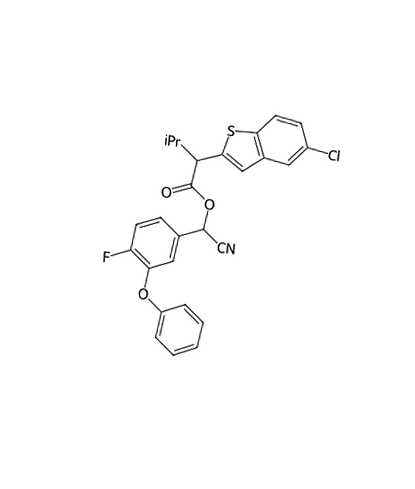 CC(C)C(C(=O)OC(C#N)c1ccc(F)c(Oc2ccccc2)c1)c1cc2cc(Cl)ccc2s1